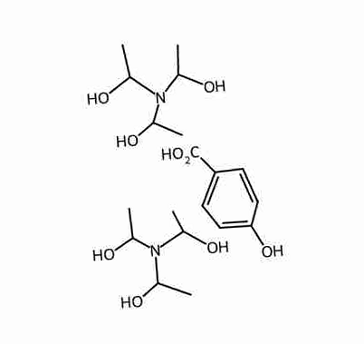 CC(O)N(C(C)O)C(C)O.CC(O)N(C(C)O)C(C)O.O=C(O)c1ccc(O)cc1